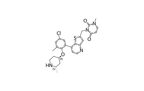 Cc1cc(Cl)cc(-c2ccnc3cc(Cn4c(=O)ccn(C)c4=O)sc23)c1O[C@@H]1CCN[C@@H](C)C1